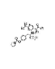 CCN(CC)c1ncc(N(CC)C(=O)C(C)C)c(NC(Cc2ccc(OC(=O)N3CCCC3)cc2)C(=O)O)n1